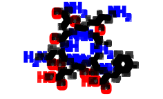 C[C@H](N)C(=O)N[C@@H](CCCCN)C(=O)N[C@@H](CCC(N)=O)C(=O)N[C@@H](CC(N)=O)C(=O)N[C@@H](CCC(=O)O)C(=O)N[C@@H](C)C(=O)N[C@@H](Cc1ccccc1)C(=O)O